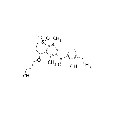 CCCCOC1CCS(=O)(=O)c2c(C)cc(C(=O)c3cnn(CC)c3O)c(C)c21